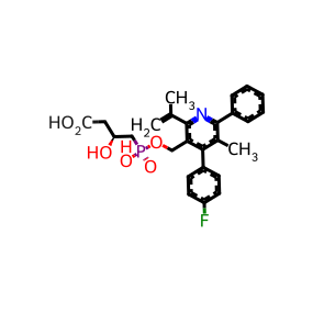 C=C(C)c1nc(-c2ccccc2)c(C)c(-c2ccc(F)cc2)c1COP(=O)(O)C[C@@H](O)CC(=O)O